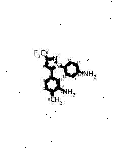 Cc1ccc(-c2cc(C(F)(F)F)nn2-c2ccc(N)cc2)cc1N